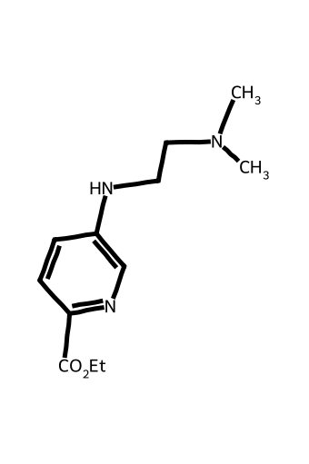 CCOC(=O)c1ccc(NCCN(C)C)cn1